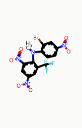 CN(c1ccc([N+](=O)[O-])cc1Br)c1c([N+](=O)[O-])cc([N+](=O)[O-])cc1C(F)(F)F